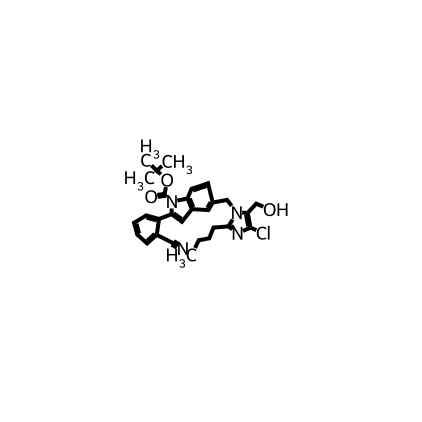 CCCCc1nc(Cl)c(CO)n1Cc1ccc2c(c1)cc(-c1ccccc1C#N)n2C(=O)OC(C)(C)C